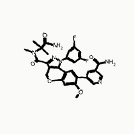 COc1cc2c(cc1-c1cncc(C(N)=O)c1)-c1c(c(C(=O)N(C)C(C)(C)C(N)=O)nn1-c1cc(F)cc(F)c1)CO2